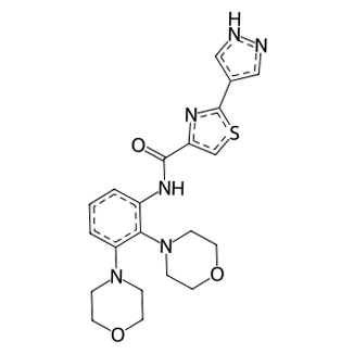 O=C(Nc1cccc(N2CCOCC2)c1N1CCOCC1)c1csc(-c2cn[nH]c2)n1